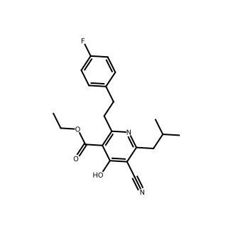 CCOC(=O)c1c(CCc2ccc(F)cc2)nc(CC(C)C)c(C#N)c1O